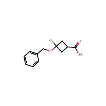 O=C(O)C1CC(Cl)(OCc2ccccc2)C1